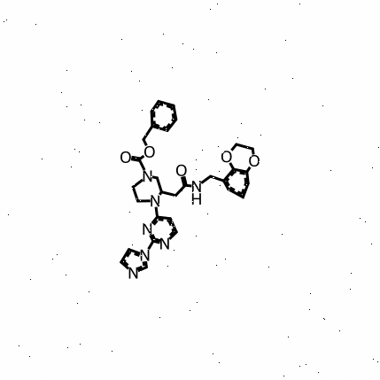 O=C(CC1CN(C(=O)OCc2ccccc2)CCN1c1ccnc(-n2ccnc2)n1)NCc1cccc2c1OCCO2